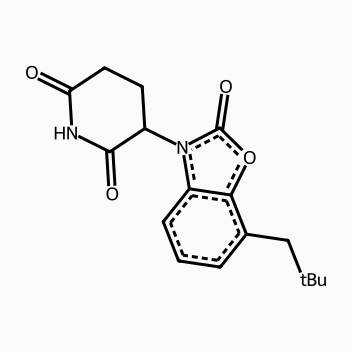 CC(C)(C)Cc1cccc2c1oc(=O)n2C1CCC(=O)NC1=O